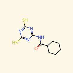 O=C(Nc1nc(S)nc(S)n1)C1CCCCC1